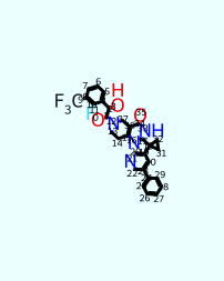 O=C(C(O)c1cccc(C(F)(F)F)c1F)N1CCc2nc(C3(c4cncc(-c5ccccc5)c4)CC3)[nH]c(=O)c2C1